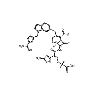 CC(C)(ON=C(C(=O)N[C@@H]1C(=O)N2C(C(=O)[O-])=C(C[n+]3ccc4ccn(Cc5cc(C(=N)N)cs5)c4c3)CS[C@H]12)c1nsc(N)n1)C(=O)O